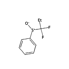 CCC(F)(F)[S+]([O-])c1ccccc1